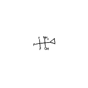 NC(O)(C1CC1)C(F)(F)F